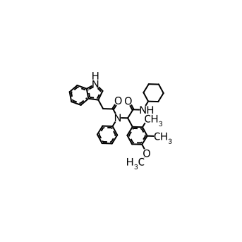 COc1ccc(C(C(=O)NC2CCCCC2)N(C(=O)Cc2c[nH]c3ccccc23)c2ccccc2)c(C)c1C